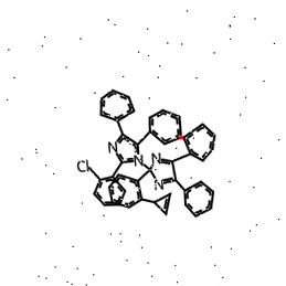 Clc1ccccc1-c1nc(-c2ccccc2)c(-c2ccccc2)n1C1(c2ccccc2C2C=C2)N=C(c2ccccc2)C(c2ccccc2)=N1